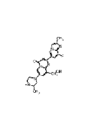 Cc1cn2cc(-c3nc(=O)n4cc(N5CCNC(C)C5)cc(C)c4n3)cc(F)c2n1.Cl